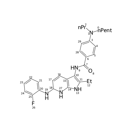 CCCCCN(CCC)c1ccc(C(=O)Nc2c(CC)[nH]c3c2C=CC(Nc2ccccc2F)N3)cc1